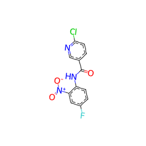 O=C(Nc1ccc(F)cc1[N+](=O)[O-])c1ccc(Cl)nc1